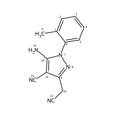 Cc1ccccc1-n1nc(CC#N)c(C#N)c1N